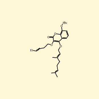 CCC=CCCOc1c(OC/C=C(\C)CCC=C(C)C)c2cccc(OC(C)(C)C)c2oc1=O